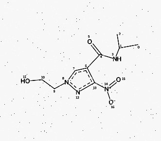 CC(C)NC(=O)c1cn(CCO)nc1[N+](=O)[O-]